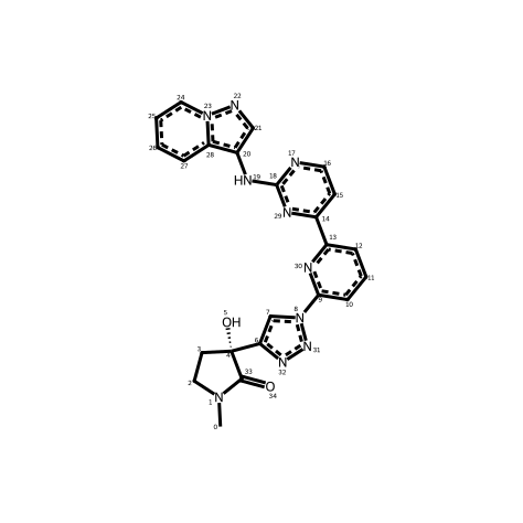 CN1CC[C@@](O)(c2cn(-c3cccc(-c4ccnc(Nc5cnn6ccccc56)n4)n3)nn2)C1=O